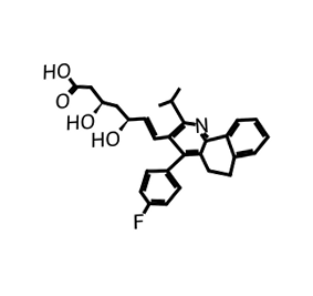 CC(C)c1nc2c(c(-c3ccc(F)cc3)c1/C=C/[C@@H](O)C[C@@H](O)CC(=O)O)CCc1ccccc1-2